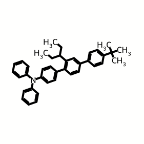 CCC(CC)c1cc(-c2ccc(C(C)(C)C)cc2)ccc1-c1ccc(N(c2ccccc2)c2ccccc2)cc1